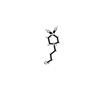 O=S1(=O)CCN(CCCCl)CC1